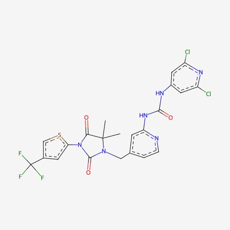 CC1(C)C(=O)N(c2cc(C(F)(F)F)cs2)C(=O)N1Cc1ccnc(NC(=O)Nc2cc(Cl)nc(Cl)c2)c1